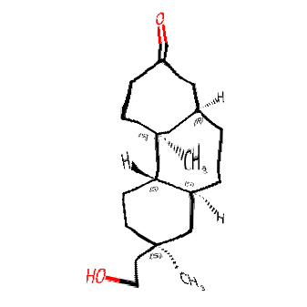 C[C@]1(CO)CC[C@H]2[C@@H](CC[C@@H]3CC(=O)CC[C@@]32C)C1